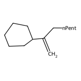 C=C(CCCCCC)C1CCCCC1